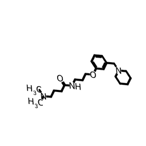 CN(C)CCCC(=O)NCCCOc1cccc(CN2CCCCC2)c1